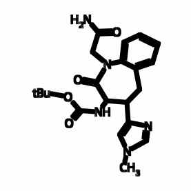 Cn1cnc(C2Cc3ccccc3N(CC(N)=O)C(=O)C2NC(=O)OC(C)(C)C)c1